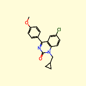 COc1ccc(-c2nc(=O)n(CC3CC3)c3ccc(Cl)cc23)cc1